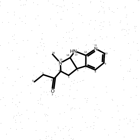 CCC(=O)C1CC2c3cccnc3NC2N1C